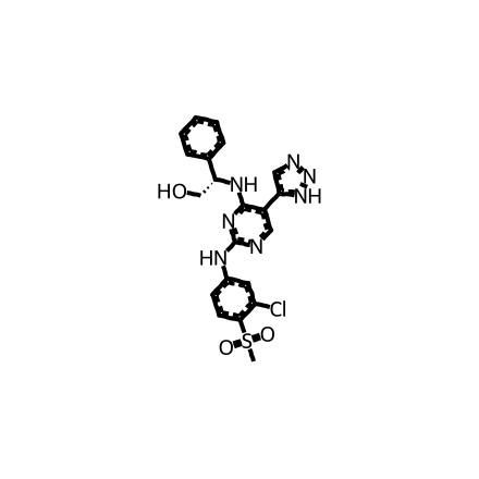 CS(=O)(=O)c1ccc(Nc2ncc(-c3cnn[nH]3)c(N[C@H](CO)c3ccccc3)n2)cc1Cl